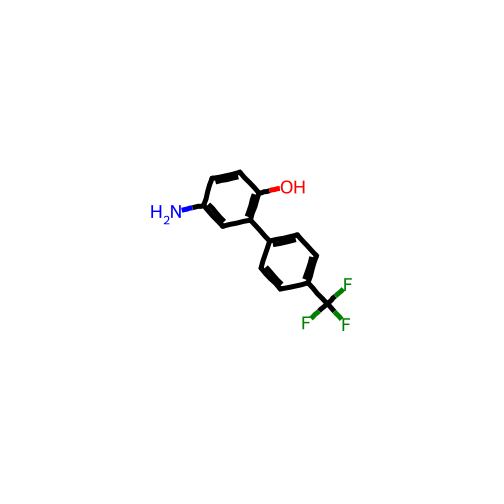 Nc1ccc(O)c(-c2ccc(C(F)(F)F)cc2)c1